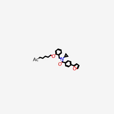 CC(=O)CCCCCOc1ccccc1CN(C(=O)c1ccc(-c2ccco2)cc1)C1CC1